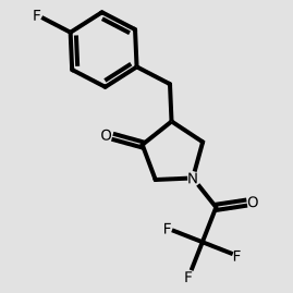 O=C1CN(C(=O)C(F)(F)F)CC1Cc1ccc(F)cc1